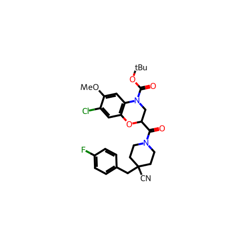 COc1cc2c(cc1Cl)OC(C(=O)N1CCC(C#N)(Cc3ccc(F)cc3)CC1)CN2C(=O)OC(C)(C)C